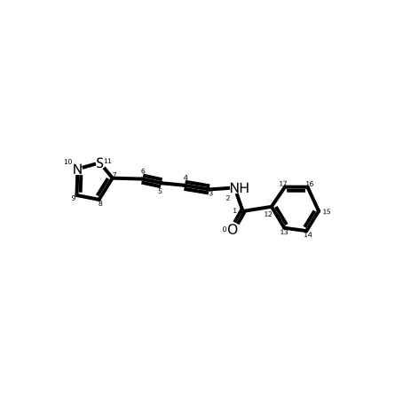 O=C(NC#CC#Cc1ccns1)c1ccccc1